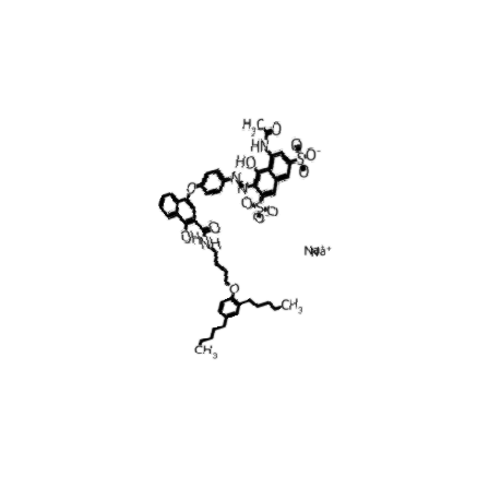 CCCCCc1ccc(OCCCCNC(=O)c2cc(Oc3ccc(N=Nc4c(S(=O)(=O)[O-])cc5cc(S(=O)(=O)[O-])cc(NC(C)=O)c5c4O)cc3)c3ccccc3c2O)c(CCCCC)c1.[Na+].[Na+]